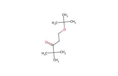 CC(C)(C)OCCC(=O)C(C)(C)C